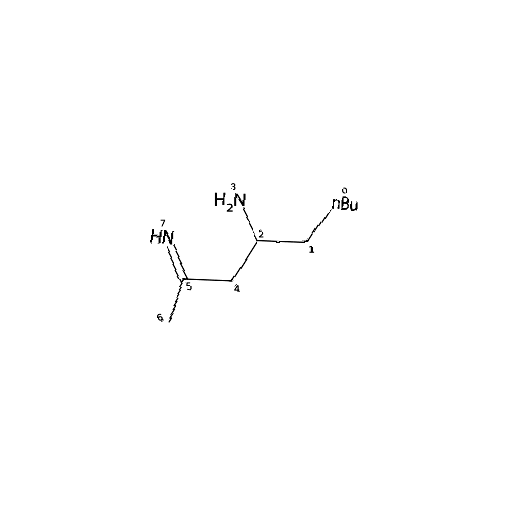 CCCCCC(N)CC(C)=N